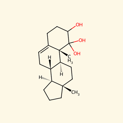 C[C@@]12CCC[C@H]1[C@@H]1CC=C3CCC(O)C(O)(O)[C@]3(C)[C@H]1CC2